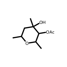 CC(=O)OC1C(C)OC(C)CC1(C)O